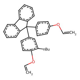 C=COc1ccc(C2(c3ccc(OC=C)c(CCCC)c3)c3ccccc3-c3ccccc32)cc1